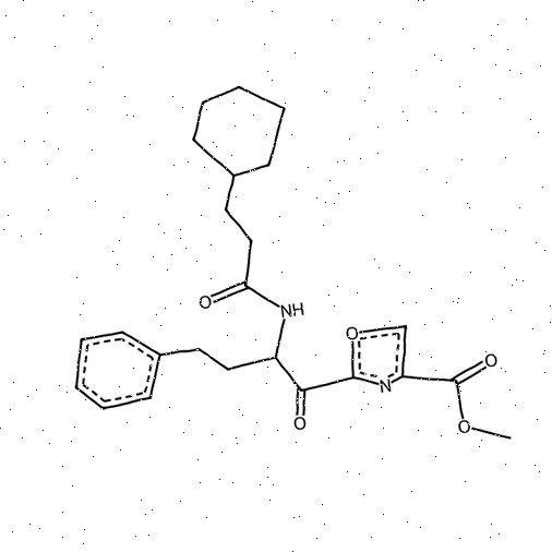 COC(=O)c1coc(C(=O)C(CCc2ccccc2)NC(=O)CCC2CCCCC2)n1